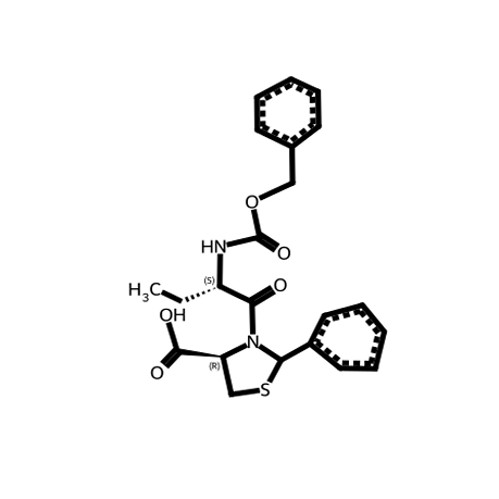 CC[C@H](NC(=O)OCc1ccccc1)C(=O)N1C(c2ccccc2)SC[C@H]1C(=O)O